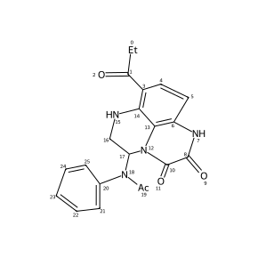 CCC(=O)c1ccc2[nH]c(=O)c(=O)n3c2c1NCC3N(C(C)=O)c1ccccc1